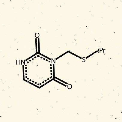 CC(C)SCn1c(=O)cc[nH]c1=O